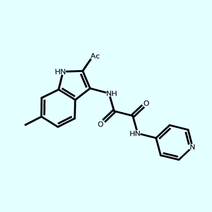 CC(=O)c1[nH]c2cc(C)ccc2c1NC(=O)C(=O)Nc1ccncc1